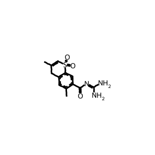 CC1=CS(=O)(=O)c2cc(C(=O)N=C(N)N)c(C)cc2C1